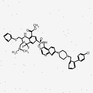 COC(=O)c1cc(S(=O)(=O)Nc2ncnc3cc(N4CCN(Cc5ccccc5-c5ccc(Cl)cc5)CC4)ccc23)cc(C(F)(F)F)c1NC(CCN(C)C)CSc1ccccc1